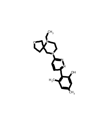 CCN1CCN(c2ccc(-c3c(C)cc(C)cc3O)nn2)CC12CCOC2